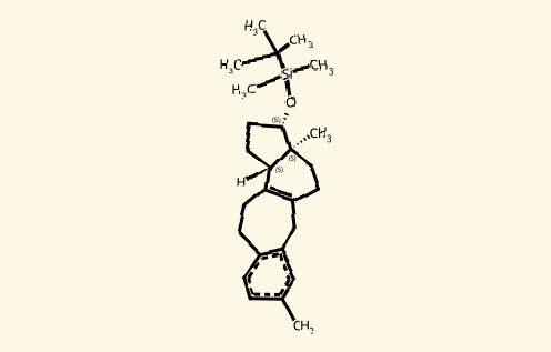 Cc1ccc2c(c1)CC1=C(CC2)[C@@H]2CC[C@H](O[Si](C)(C)C(C)(C)C)[C@@]2(C)CC1